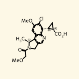 COCC(=O)N1Cc2cnc3c([C@@H]4C[C@H]4C(=O)O)c(Cl)c(OC)cc3c2[C@@H]1C